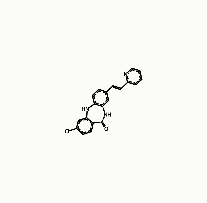 O=C1Nc2cc(C=Cc3ccccn3)ccc2Nc2cc(Cl)ccc21